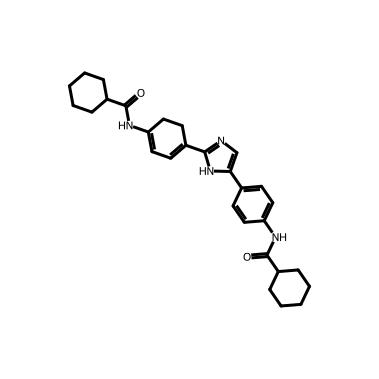 O=C(NC1=CC=C(c2ncc(-c3ccc(NC(=O)C4CCCCC4)cc3)[nH]2)CC1)C1CCCCC1